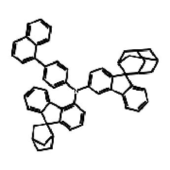 c1ccc2c(c1)-c1c(N(c3ccc(-c4cccc5ccccc45)cc3)c3ccc4c(c3)-c3ccccc3C43C4CC5CC(C4)CC3C5)cccc1C21CC2CCC1C2